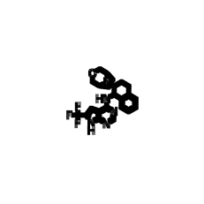 FC(F)(F)c1cc2c(NC3c4ccccc4CCC3N3C4CCC3COC4)ncnc2[nH]1